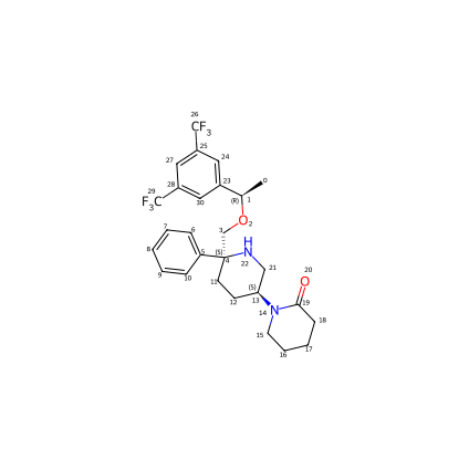 C[C@@H](OC[C@@]1(c2ccccc2)CC[C@H](N2CCCCC2=O)CN1)c1cc(C(F)(F)F)cc(C(F)(F)F)c1